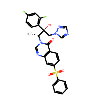 C[C@@H](n1cnc2cc(S(=O)(=O)c3ccccc3)ccc2c1=O)[C@](O)(Cn1cncn1)c1ccc(F)cc1F